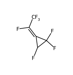 FC(=C1C(F)C1(F)F)C(F)(F)F